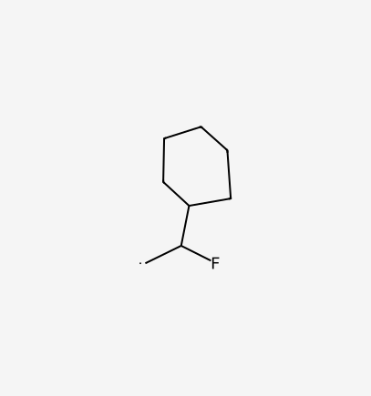 [CH2]C(F)C1CCCCC1